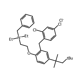 CC[N+](CC)(CCOc1ccc(C(C)(C)CC(C)(C)C)cc1Cc1ccc(Cl)cc1Cl)Cc1ccccc1.[Cl-]